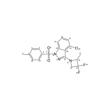 Cc1ccc(S(=O)(=O)n2nc(N3CC(F)(F)C3C)c3c(Cl)cccc32)cc1